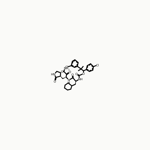 CC(C)(c1cccc(Cl)c1)C(OC(=O)N[C@@H](CC1CCCCC1)C(=O)N[C@@H](C[C@@H]1CCNC1=O)C(=O)C(N)=O)c1ccc(Cl)cc1